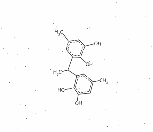 Cc1cc(O)c(O)c(C(C)c2cc(C)cc(O)c2O)c1